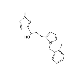 OC(CCc1cccn1Cc1ccccc1F)c1nc[nH]n1